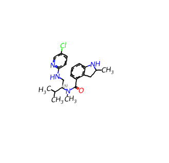 CC1Cc2c(cccc2C(=O)N(C)[C@H](CNc2ccc(Cl)cn2)C(C)C)N1